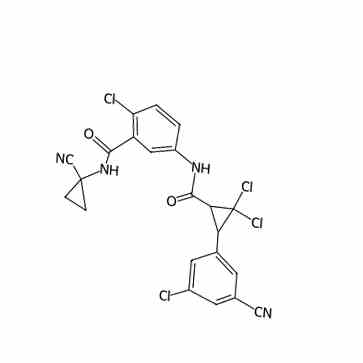 N#Cc1cc(Cl)cc(C2C(C(=O)Nc3ccc(Cl)c(C(=O)NC4(C#N)CC4)c3)C2(Cl)Cl)c1